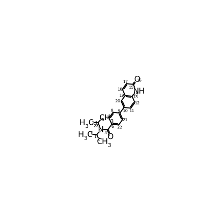 CC(C)N(C(=O)c1ccc(-c2ccc3[nH]c(=O)ccc3c2)cc1)C(C)C